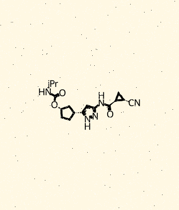 CC(C)NC(=O)O[C@H]1CC[C@@H](c2cc(NC(=O)[C@H]3C[C@@H]3C#N)n[nH]2)C1